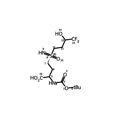 CC(C)(C)OC(=O)NC(CC[S@@](=N)(=O)CCC(O)C(F)(F)F)C(=O)O